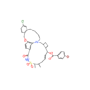 CC1C/C=C/[C@H](OC(=O)c2ccc(Br)cc2)C2CCC2CN2CCCCc3cc(Cl)ccc3COc3ccc(cc32)C(=O)NS(=O)(=O)C1C